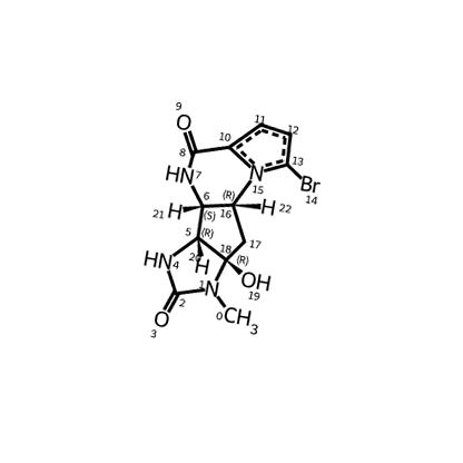 CN1C(=O)N[C@@H]2[C@@H]3NC(=O)c4ccc(Br)n4[C@@H]3C[C@@]21O